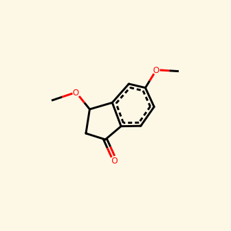 COc1ccc2c(c1)C(OC)CC2=O